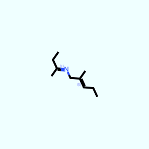 CC/C=C(\C)C/N=C(\C)CC